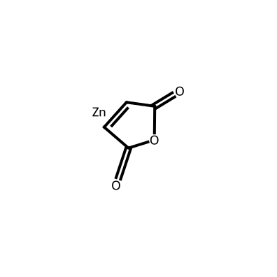 O=C1C=CC(=O)O1.[Zn]